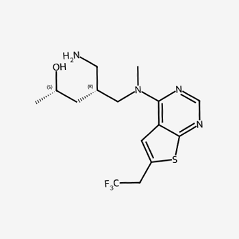 C[C@H](O)C[C@H](CN)CN(C)c1ncnc2sc(CC(F)(F)F)cc12